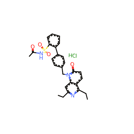 CCc1cc2c(ccc(=O)n2Cc2ccc(-c3ccccc3S(=O)(=O)NC(C)=O)cc2)c(CC)n1.Cl